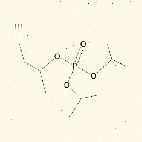 C#CCC(C)OP(=O)(OC(C)C)OC(C)C